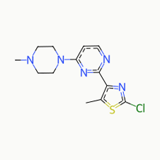 Cc1sc(Cl)nc1-c1nccc(N2CCN(C)CC2)n1